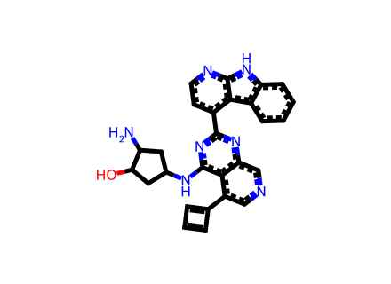 NC1CC(Nc2nc(-c3ccnc4[nH]c5ccccc5c34)nc3cncc(C4=CC=C4)c23)CC1O